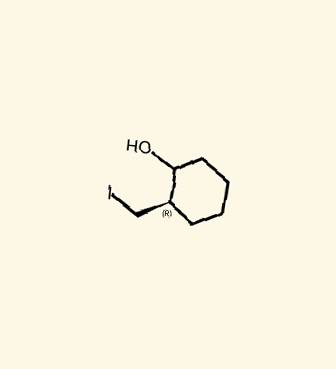 OC1CCCC[C@H]1CI